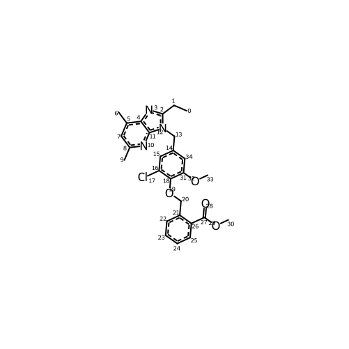 CCc1nc2c(C)cc(C)nc2n1Cc1cc(Cl)c(OCc2ccccc2C(=O)OC)c(OC)c1